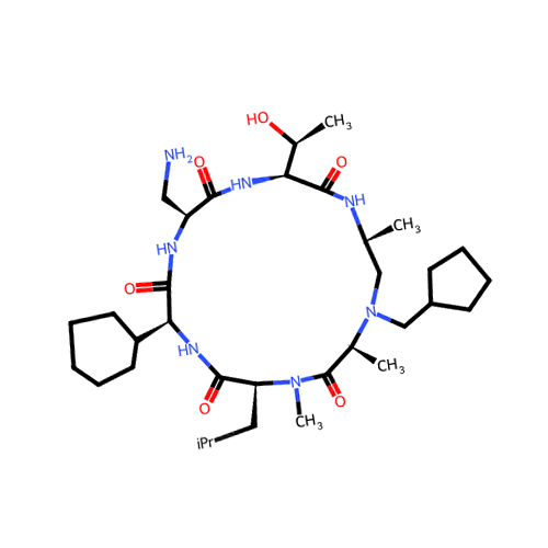 CC(C)C[C@H]1C(=O)N[C@@H](C2CCCCC2)C(=O)N[C@@H](CN)C(=O)N[C@@H]([C@H](C)O)C(=O)N[C@@H](C)CN(CC2CCCC2)[C@@H](C)C(=O)N1C